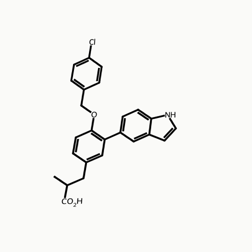 CC(Cc1ccc(OCc2ccc(Cl)cc2)c(-c2ccc3[nH]ccc3c2)c1)C(=O)O